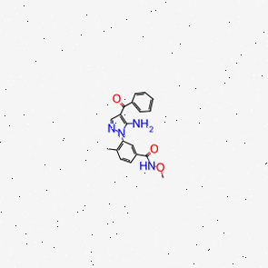 CONC(=O)c1ccc(C)c(-n2ncc(C(=O)c3ccccc3)c2N)c1